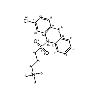 C[N+](C)(C)CCCS(=O)(=O)N1c2ccccc2Sc2ccc(Cl)cc21